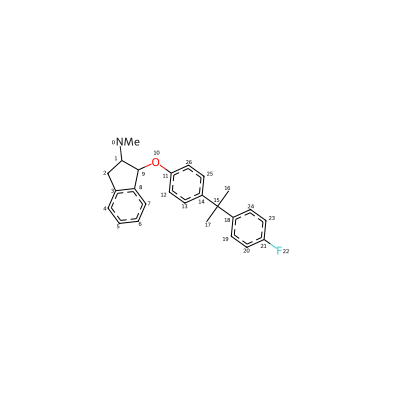 CNC1Cc2ccccc2C1Oc1ccc(C(C)(C)c2ccc(F)cc2)cc1